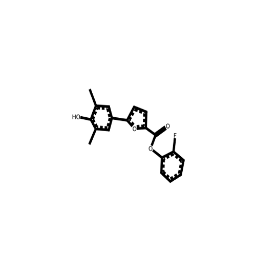 Cc1cc(-c2ccc(C(=O)Oc3ccccc3F)o2)cc(C)c1O